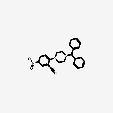 N#CC1=CC([N+](=O)[O-])CC=C1N1CCN(C(C2=CC=CCC2)C2C=CC=CC2)CC1